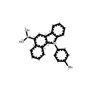 CC(C)(C)c1ccc(-n2c3ccccc3c3cc(B(O)O)c4ccccc4c32)cc1